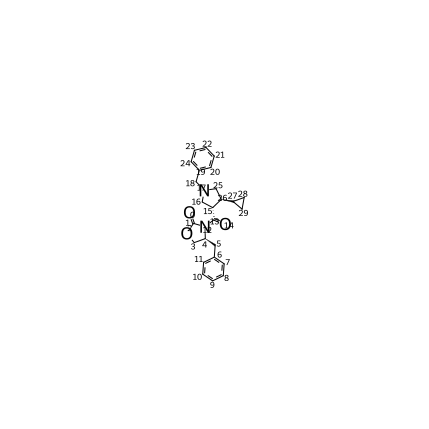 O=C1OC[C@H](Cc2ccccc2)N1C(=O)[C@@H]1CN(Cc2ccccc2)C[C@H]1C1CC1